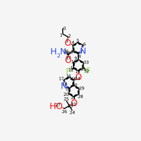 CCCOc1ccnc(-c2cc(F)c(Oc3ccnc4cc(OC(C)(C)CO)ccc34)c(F)c2)c1C(N)=O